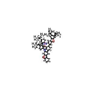 CC(C)(C)c1ccc(Nc2cc3c(cc2-c2ccc4c5cc6c(cc5n5c4c2Bc2cc(C(C)(C)C)ccc2-5)oc2ccccc26)oc2cc4c(cc23)C(C)(C)CCC4(C)C)cc1